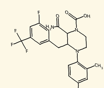 Cc1cc(F)ccc1N1CCN(C(=O)O)C(C(N)=O)C1Cc1cc(F)cc(C(F)(F)F)c1